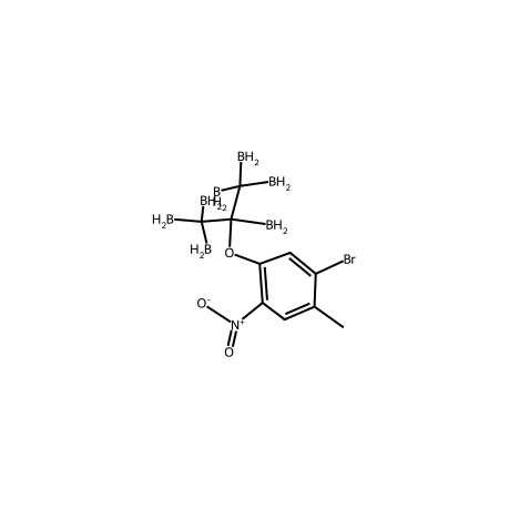 BC(B)(B)C(B)(Oc1cc(Br)c(C)cc1[N+](=O)[O-])C(B)(B)B